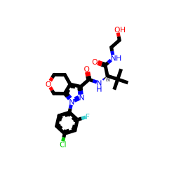 CC(C)(C)[C@H](NC(=O)c1nn(-c2ccc(Cl)cc2F)c2c1CCOC2)C(=O)NCCO